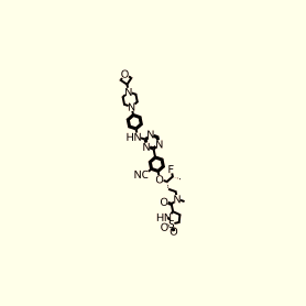 C[C@@H](F)[C@H](CCN(C)C(=O)C1CCS(=O)(=O)N1)Oc1ccc(-c2ncnc(Nc3ccc(N4CCN(C5COC5)CC4)cc3)n2)cc1C#N